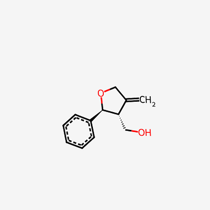 C=C1CO[C@H](c2ccccc2)[C@H]1CO